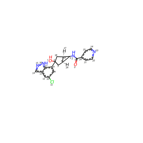 O=C(NC1[C@H]2CC(O)(c3cc(Cl)cc4cn[nH]c34)C[C@@H]12)c1ccncc1